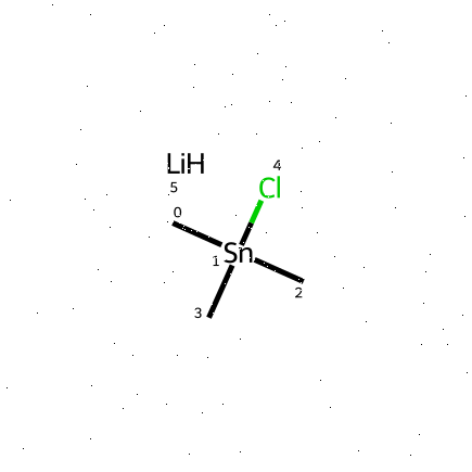 [CH3][Sn]([CH3])([CH3])[Cl].[LiH]